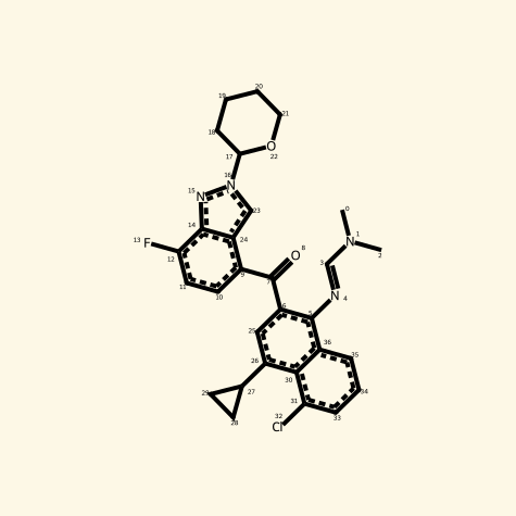 CN(C)/C=N/c1c(C(=O)c2ccc(F)c3nn(C4CCCCO4)cc23)cc(C2CC2)c2c(Cl)cccc12